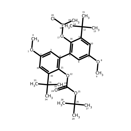 COc1cc(-c2cc(OC)cc(C(C)(C)C)c2OP(C)Cl)c(OC(=O)OC(C)(C)C)c(C(C)(C)C)c1